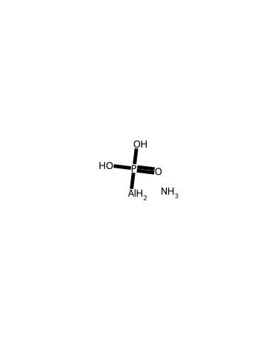 N.O=[P](O)(O)[AlH2]